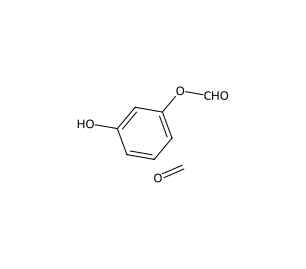 C=O.O=COc1cccc(O)c1